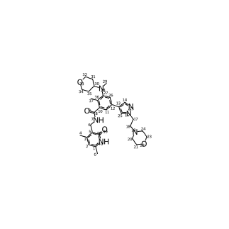 Cc1cc(C)c(CNC(=O)c2cc(-c3cnn(CCN4CCOCC4)c3)cc(N(C)C3CCOCC3)c2C)c(=O)[nH]1